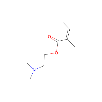 CC=C(C)C(=O)OCCN(C)C